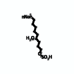 CCCCCCCCCCCCCCCCCCOS(=O)(=O)O.O